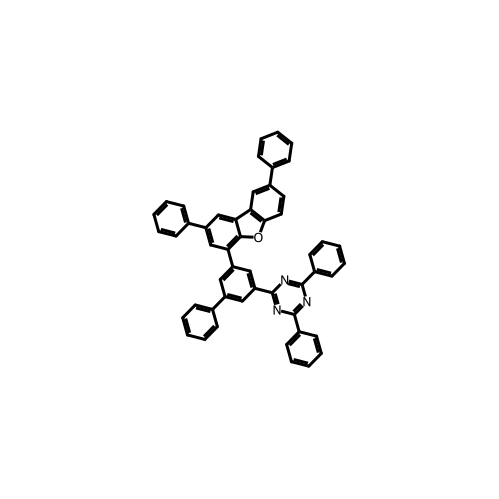 c1ccc(-c2cc(-c3nc(-c4ccccc4)nc(-c4ccccc4)n3)cc(-c3cc(-c4ccccc4)cc4c3oc3ccc(-c5ccccc5)cc34)c2)cc1